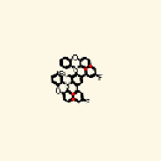 CC(C)(C)c1c(N2c3ccccc3Oc3ccccc32)c(-c2cccc(F)c2)cc(-c2cccc(F)c2)c1N1c2ccccc2Oc2ccccc21